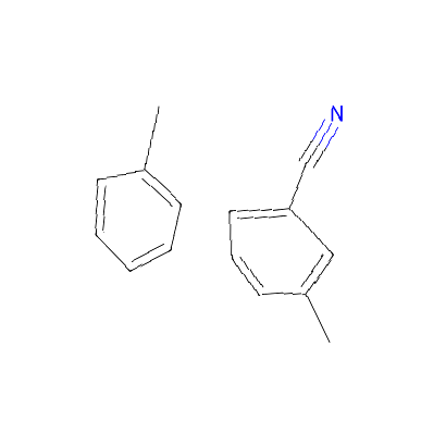 Cc1cccc(C#N)c1.Cc1ccccc1